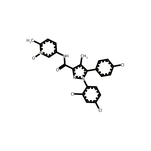 Cc1c(C(=O)Nc2ccc(C)[n+]([O-])c2)nn(-c2ccc(Cl)cc2Cl)c1-c1ccc(Cl)cc1